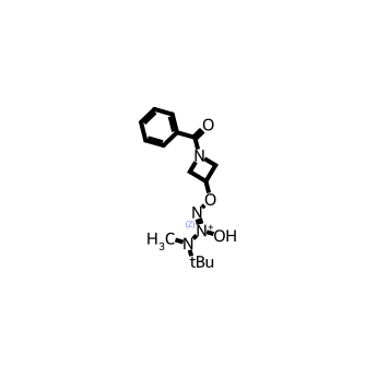 CN(/[N+](O)=N/OC1CN(C(=O)c2ccccc2)C1)C(C)(C)C